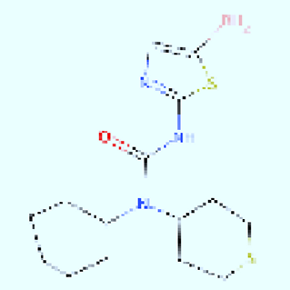 Bc1cnc(NC(=O)N(C2CCCCC2)C2CCSCC2)s1